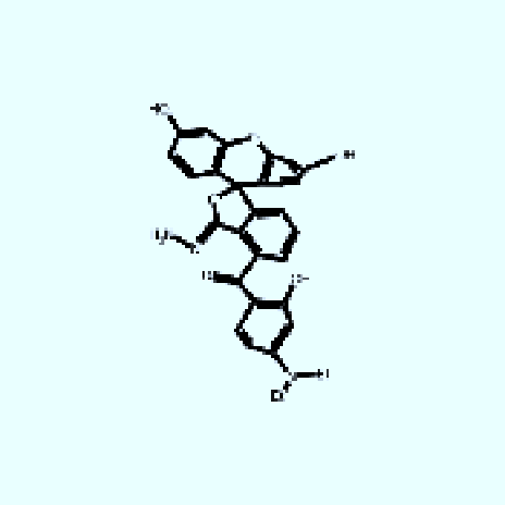 CCN(CC)c1ccc(C(=O)c2cccc3c2C(=NN)OC32c3ccc(O)cc3Oc3cc(O)ccc32)c(O)c1